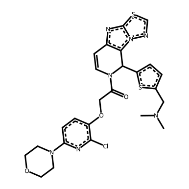 CN(C)Cc1ccc(C2c3c(nc4scnn34)C=CN2C(=O)COc2ccc(N3CCOCC3)nc2Cl)s1